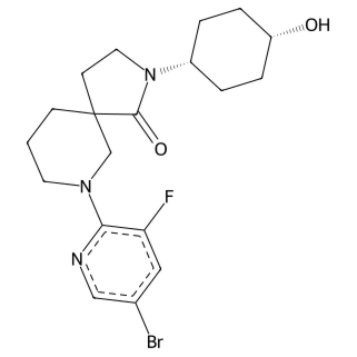 O=C1N([C@H]2CC[C@@H](O)CC2)CCC12CCCN(c1ncc(Br)cc1F)C2